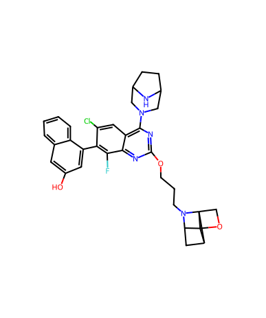 Oc1cc(-c2c(Cl)cc3c(N4CC5CCC(C4)N5)nc(OCCCN4C5CC6C57OCC647)nc3c2F)c2ccccc2c1